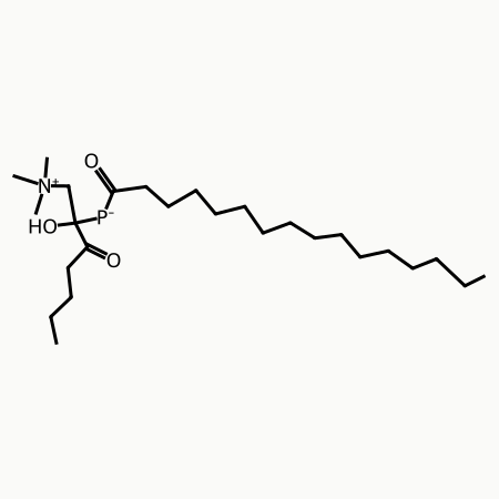 CCCCCCCCCCCCCCCC(=O)[P-]C(O)(C[N+](C)(C)C)C(=O)CCCC